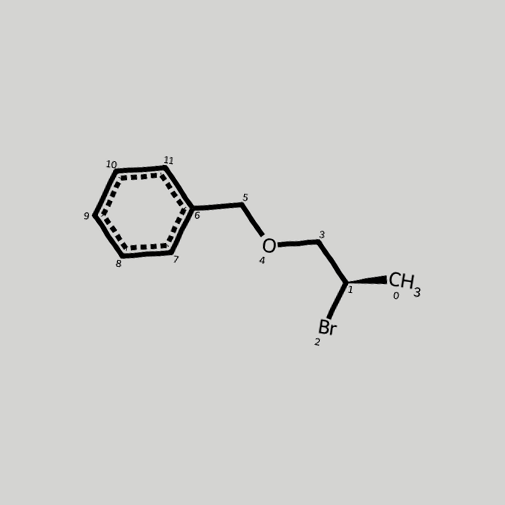 C[C@@H](Br)COCc1ccccc1